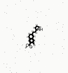 COC(=O)c1cc2c(cc1C)C=C(CCC1CCCN1)CC2